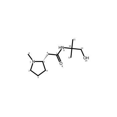 CN1CCC[C@H]1CC(=O)NC(C)(C)CO